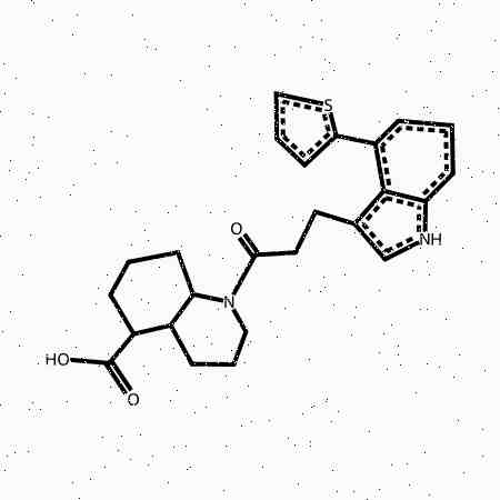 O=C(O)C1CCCC2C1CCCN2C(=O)CCc1c[nH]c2cccc(-c3cccs3)c12